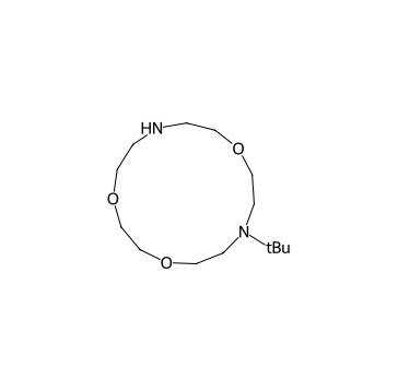 CC(C)(C)N1CCOCCNCCOCCOCC1